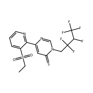 CCS(=O)(=O)c1cccnc1-c1cc(=S)n(CC(F)(F)C(F)C(F)(F)F)cn1